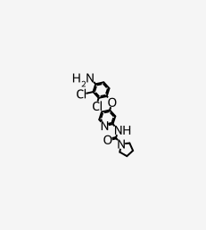 Nc1ccc(Oc2ccnc(NC(=O)N3CCCC3)c2)c(Cl)c1Cl